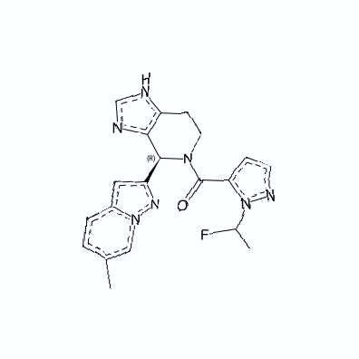 Cc1ccc2cc([C@H]3c4nc[nH]c4CCN3C(=O)c3ccnn3C(C)F)nn2c1